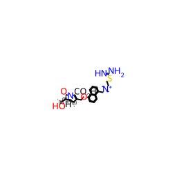 C[C@@H](O)[C@H]1C(=O)N2C(C(=O)O)=C(COc3cccc4c(C[N+](C)(C)CCSC(=N)N)cccc34)[C@H](C)[C@H]12